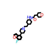 O=C(CC1CCOCC1)NC1CCC(CCN2CCC(c3ccc(F)c4occc34)CC2)CC1